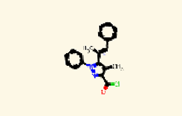 C/C(=C\c1ccccc1)c1c(C)c(C(=O)Cl)nn1-c1ccccc1